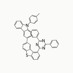 Cc1ccc(-n2c3ccccc3c3cc(-c4ccc5sc6cccc(-c7nc(-c8ccccc8)nc(-c8ccccc8)n7)c6c5c4)ccc32)cc1